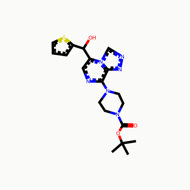 CC(C)(C)OC(=O)N1CCN(c2ncc(C(O)c3cccs3)n3cnnc23)CC1